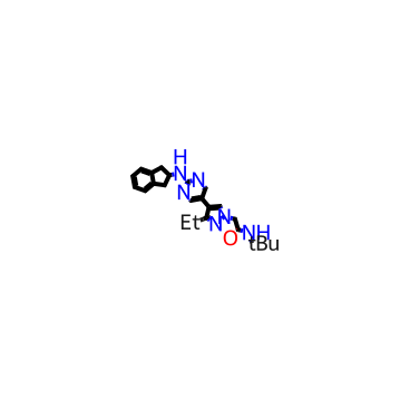 CCc1nn(CC(=O)NC(C)(C)C)cc1-c1cnc(NC2Cc3ccccc3C2)nc1